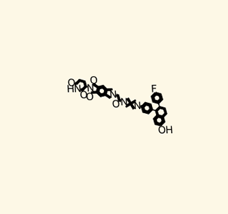 O=C1CC[C@@H](N2C(=O)c3cc4c(cc3C2=O)CN(CC(=O)N2CC3(C2)CN(c2ccc([C@@H]5c6ccc(O)cc6CC[C@@H]5c5ccc(F)cc5)cc2)C3)C4)C(=O)N1